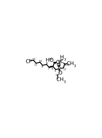 CCOP(=O)(CC(=CCCCCCCl)C(=O)O)CC(C)C